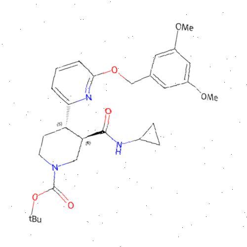 COc1cc(COc2cccc([C@H]3CCN(C(=O)OC(C)(C)C)C[C@@H]3C(=O)NC3CC3)n2)cc(OC)c1